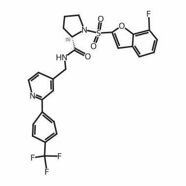 O=C(NCc1ccnc(-c2ccc(C(F)(F)F)cc2)c1)[C@@H]1CCCN1S(=O)(=O)c1cc2cccc(F)c2o1